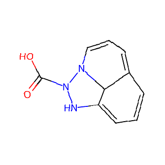 O=C(O)N1NC2=CC=CC3=CC=CN1C32